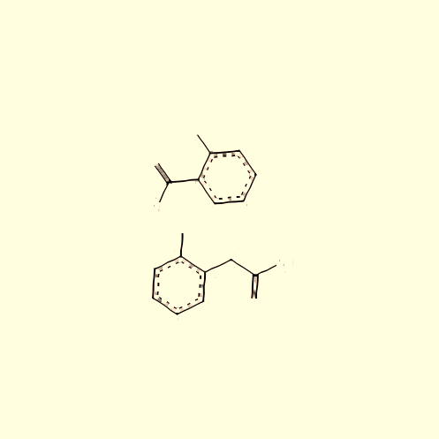 CCc1ccccc1C(N)=S.NC(=S)Cc1ccccc1F